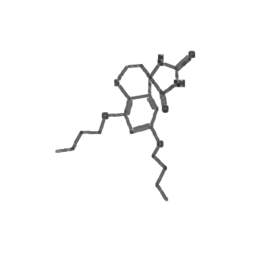 CCCCOc1cc(OCCCC)c2c(c1)C1(CCS2)NC(=O)NC1=O